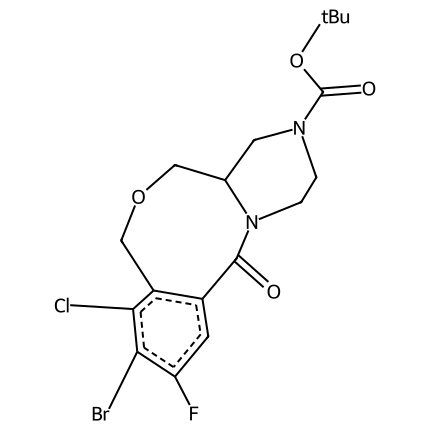 CC(C)(C)OC(=O)N1CCN2C(=O)c3cc(F)c(Br)c(Cl)c3COCC2C1